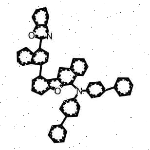 c1ccc(-c2ccc(N(c3ccc(-c4ccccc4)cc3)c3c4ccccc4cc4c3oc3cccc(-c5ccc(-c6nc7ccccc7o6)c6ccccc56)c34)cc2)cc1